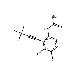 CC(C)(C)C(=O)Nc1ccc(Cl)c(C(F)(F)F)c1C#C[Si](C)(C)C